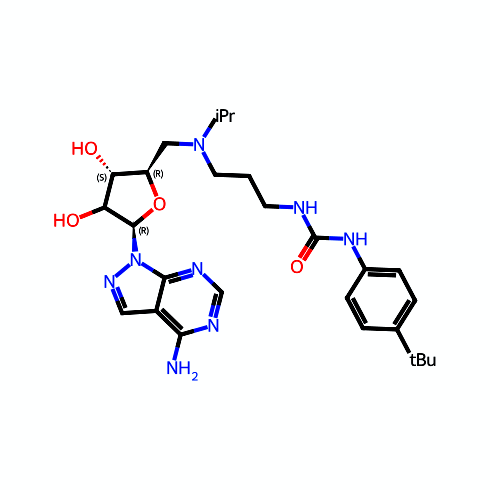 CC(C)N(CCCNC(=O)Nc1ccc(C(C)(C)C)cc1)C[C@H]1O[C@@H](n2ncc3c(N)ncnc32)C(O)[C@@H]1O